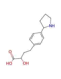 O=C(O)C(O)CCc1ccc(C2CCCN2)cc1